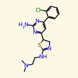 CN(C)CCNC1=NCC(c2cc(-c3ccccc3Cl)nc(N)n2)S1